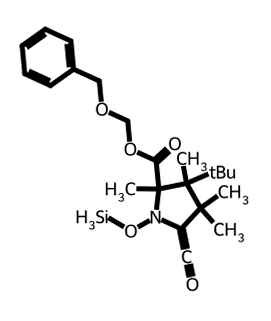 CC(C)(C)C1(C)C(C)(C)C(=C=O)N(O[SiH3])C1(C)C(=O)OCOCc1ccccc1